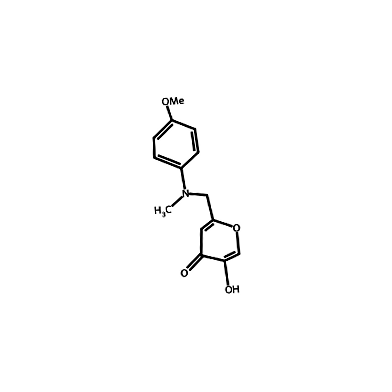 COc1ccc(N(C)Cc2cc(=O)c(O)co2)cc1